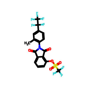 Cc1cc(C(F)(F)C(F)(F)F)ccc1N1C(=O)c2cccc(OS(=O)(=O)C(F)(F)F)c2C1=O